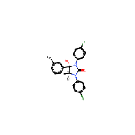 CC[C@]1(C)N(c2ccc(Cl)cc2)C(=O)N(c2ccc(Cl)cc2)C1(O)c1cccc(C#N)c1